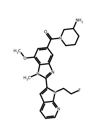 COc1cc(C(=O)N2CCCC(N)C2)cc2nc(-c3cc4cccnc4n3CCF)n(C)c12